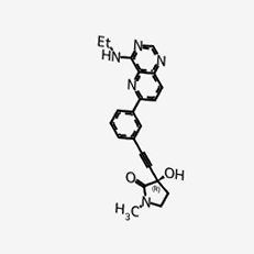 CCNc1ncnc2ccc(-c3cccc(C#C[C@]4(O)CCN(C)C4=O)c3)nc12